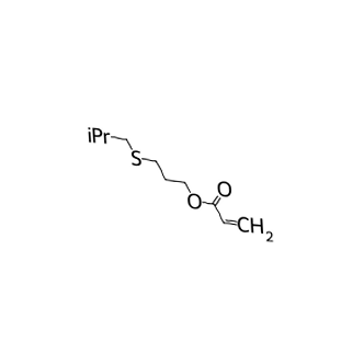 C=CC(=O)OCCCSCC(C)C